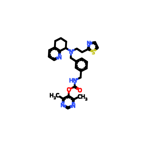 Cc1ncnc(C)c1OC(=O)NCc1cccc(CN(CCc2nccs2)C2CCCc3cccnc32)c1